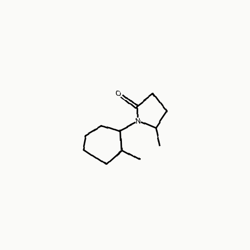 CC1CCCCC1N1C(=O)CCC1C